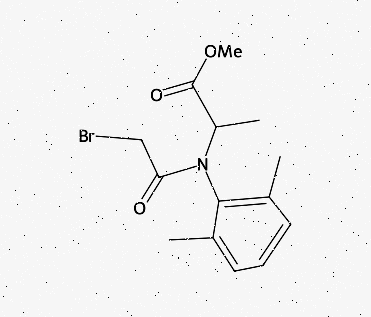 COC(=O)C(C)N(C(=O)CBr)c1c(C)cccc1C